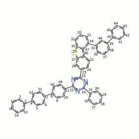 c1ccc(-c2ccc(-c3ccc(-c4nc(-c5ccccc5)nc(-c5ccc6c(c5)sc5cccc(-c7cccc(-c8ccccc8)c7)c56)n4)cc3)cc2)cc1